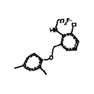 CCOC(=O)Nc1c(Cl)cccc1COc1ccc(C)cc1C